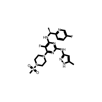 Cc1cc(Nc2nc(N[C@@H](C)c3ccc(F)cn3)c(F)c(N3CCN(S(C)(=O)=O)CC3)n2)n[nH]1